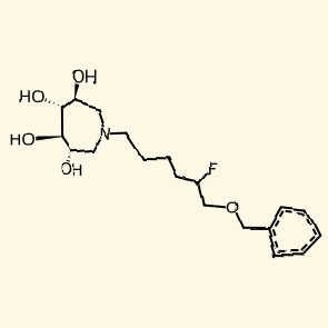 O[C@H]1[C@H](O)[C@@H](O)CN(CCCCC(F)COCc2ccccc2)C[C@@H]1O